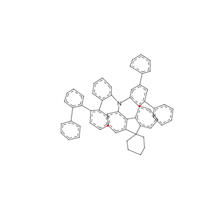 c1ccc(-c2cc(-c3ccccc3)cc(N(c3ccccc3-c3ccccc3-c3ccccc3-c3ccccc3)c3cccc4c3-c3ccccc3C43CCCCC3)c2)cc1